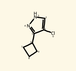 Clc1c[nH]nc1C1CCC1